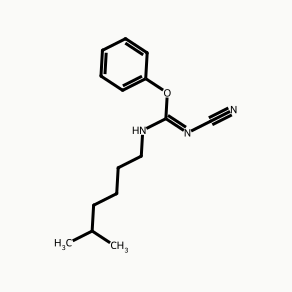 CC(C)CCCCN/C(=N/C#N)Oc1ccccc1